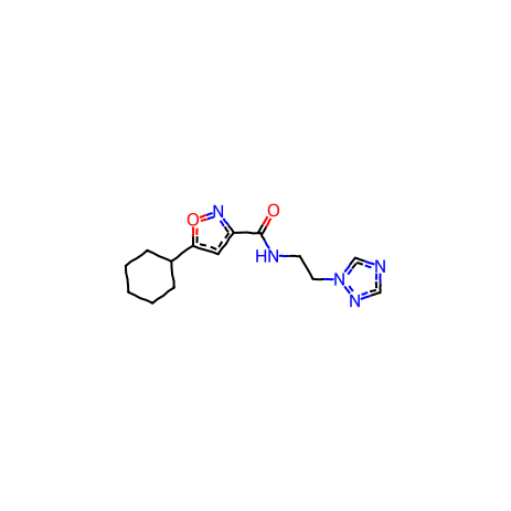 O=C(NCCn1cncn1)c1cc(C2CCCCC2)on1